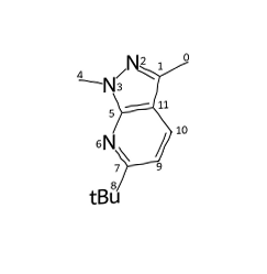 Cc1nn(C)c2nc(C(C)(C)C)ccc12